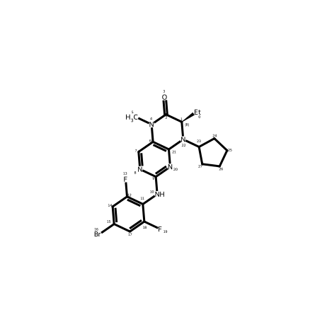 CC[C@@H]1C(=O)N(C)c2cnc(Nc3c(F)cc(Br)cc3F)nc2N1C1CCCC1